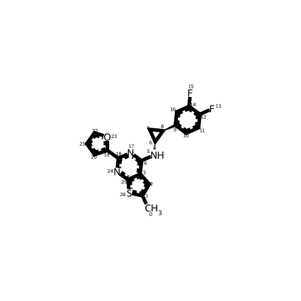 Cc1cc2c(N[C@@H]3C[C@H]3c3ccc(F)c(F)c3)nc(-c3ccco3)nc2s1